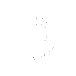 COc1ccc2c(c1)CN(C(=O)NCCc1ccc(O)c(OC)c1)CCS2